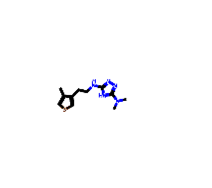 Cc1cscc1CCNc1nnc(N(C)C)[nH]1